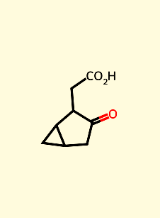 O=C(O)CC1C(=O)CC2CC21